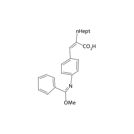 CCCCCCCC(=Cc1ccc(N=C(OC)c2ccccc2)cc1)C(=O)O